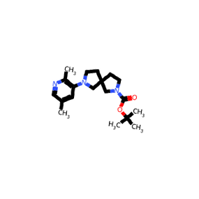 Cc1cnc(C)c(N2CCC3(CCN(C(=O)OC(C)(C)C)C3)C2)c1